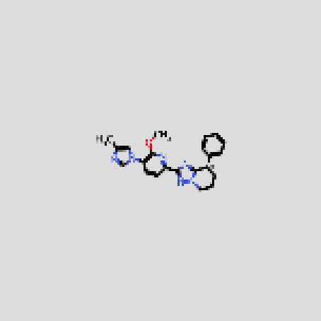 COc1nc(-c2nc3n(n2)CCC[C@@H]3c2ccccc2)ccc1-n1cnc(C)c1